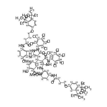 CCC(C)(C)c1ccc(OCCCC(=O)Nc2ccc(OC)c(Nc3[nH]n(-c4c(Cl)c(Cl)c(Cl)c(Cl)c4Cl)c(=O)c3C(c3ccc(O)c(OC)c3)c3c(Nc4cc(NC(=O)CCCOc5ccc(C(C)(C)CC)c(C(C)(C)CC)c5)ccc4OC)[nH]n(-c4c(Cl)c(Cl)c(Cl)c(Cl)c4Cl)c3=O)c2)cc1C(C)(C)CC